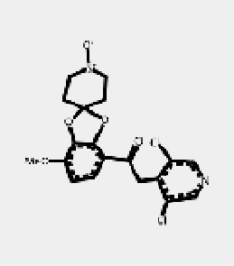 COc1ccc(C(=O)Cc2c(Cl)cncc2Cl)c2c1OC1(CC[S+]([O-])CC1)O2